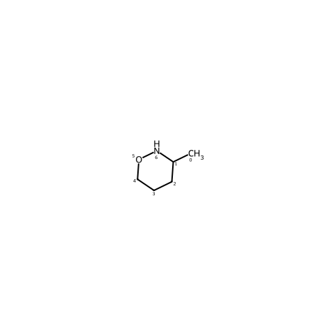 CC1CCCON1